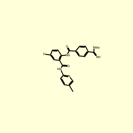 CNC(=N)c1ccc(C(=O)Nc2ccc(F)cc2C(=O)Nc2ccc(C)cn2)cc1